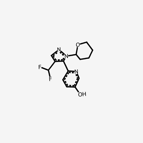 Oc1ccc(-c2c(C(F)F)cnn2C2CCCCO2)nc1